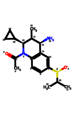 CC(=O)N1c2ccc([S+]([O-])C(C)C)cc2[C@H](N)C(C)[C@@H]1C1CC1